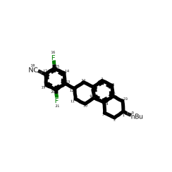 CCCCC1CCc2c(ccc3c2CCC(c2cc(F)c(C#N)cc2F)C3)C1